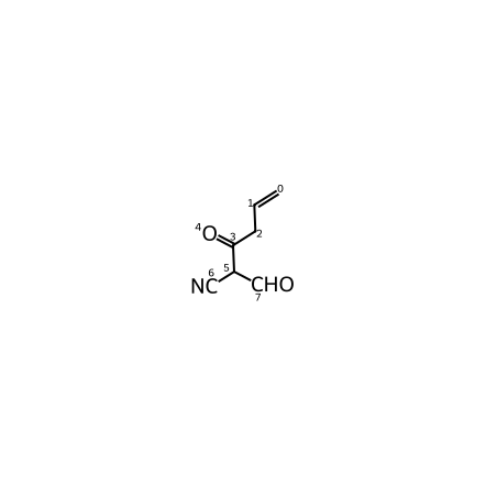 C=CCC(=O)C(C#N)C=O